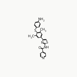 Cc1cc(-c2csc(NC(=O)c3ccncc3)n2)cc(C)c1Sc1ccc(N)cc1